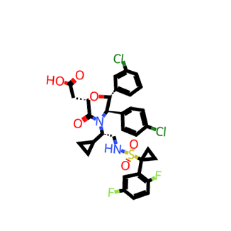 O=C(O)C[C@@H]1O[C@H](c2cccc(Cl)c2)[C@@H](c2ccc(Cl)cc2)N([C@H](CNS(=O)(=O)C2(c3cc(F)ccc3F)CC2)C2CC2)C1=O